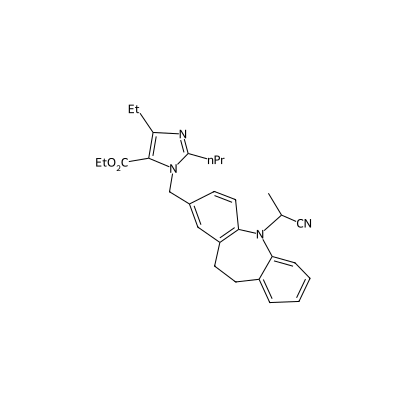 CCCc1nc(CC)c(C(=O)OCC)n1Cc1ccc2c(c1)CCc1ccccc1N2C(C)C#N